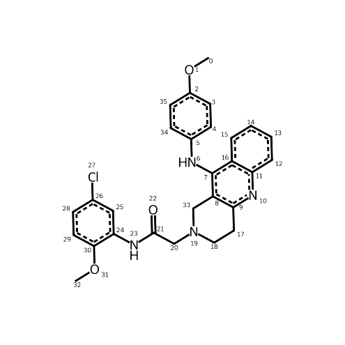 COc1ccc(Nc2c3c(nc4ccccc24)CCN(CC(=O)Nc2cc(Cl)ccc2OC)C3)cc1